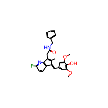 COc1cc(C=C2C(C)=C(CC(=O)NCc3ccccc3)c3nc(F)ccc32)cc(OC)c1O